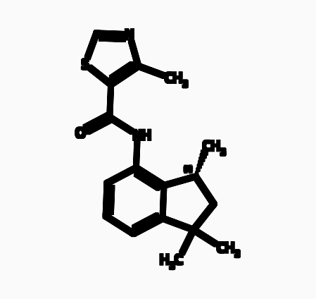 Cc1ncsc1C(=O)Nc1cccc2c1[C@H](C)CC2(C)C